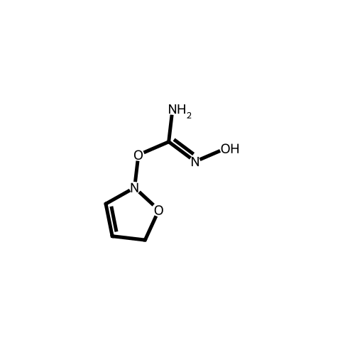 NC(=NO)ON1C=CCO1